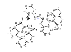 COc1ccc2ccccc2c1-c1c(O)c(/C=N/[C@H]2CCCC[C@@H]2NCc2cc3ccccc3c(-c3c(OC)ccc4ccccc34)c2O)cc2ccccc12